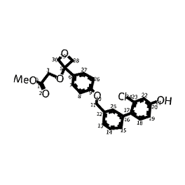 COC(=O)COC1(c2ccc(OCc3cccc(-c4ccc(O)cc4Cl)c3)cc2)COC1